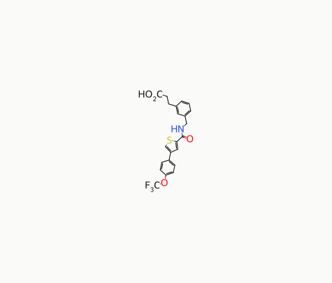 O=C(O)CCc1cccc(CNC(=O)c2cc(-c3ccc(OC(F)(F)F)cc3)cs2)c1